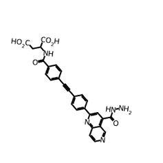 NNC(=O)c1cc(-c2ccc(C#Cc3ccc(C(=O)NC(CC(=O)O)C(=O)O)cc3)cc2)nc2ccncc12